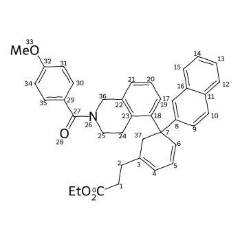 CCOC(=O)CCC1=CC=CC(c2ccc3ccccc3c2)(c2cccc3c2CCN(C(=O)c2ccc(OC)cc2)C3)C1